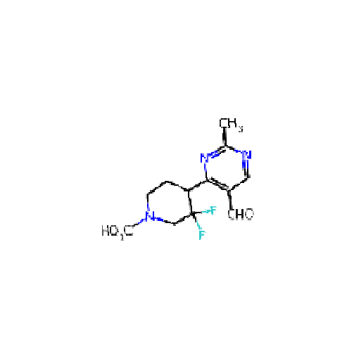 Cc1ncc(C=O)c(C2CCN(C(=O)O)CC2(F)F)n1